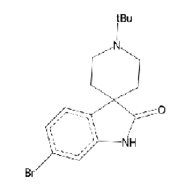 CC(C)(C)N1CCC2(CC1)C(=O)Nc1cc(Br)ccc12